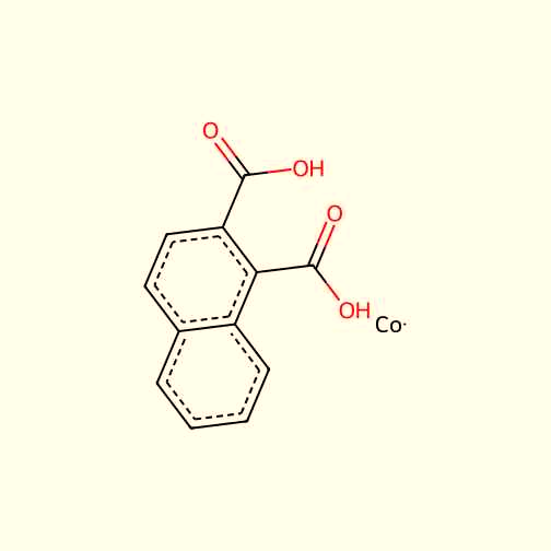 O=C(O)c1ccc2ccccc2c1C(=O)O.[Co]